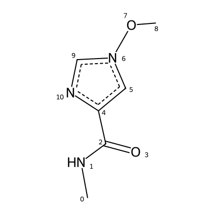 CNC(=O)c1cn(OC)cn1